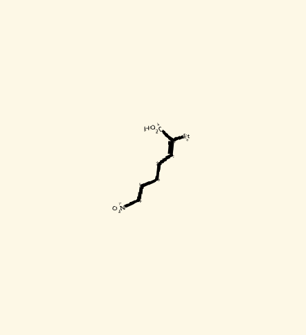 CCC(=CCCCC[N+](=O)[O-])C(=O)O